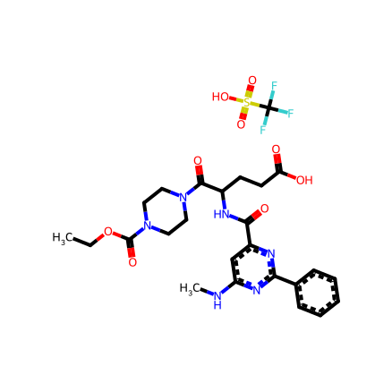 CCOC(=O)N1CCN(C(=O)C(CCC(=O)O)NC(=O)c2cc(NC)nc(-c3ccccc3)n2)CC1.O=S(=O)(O)C(F)(F)F